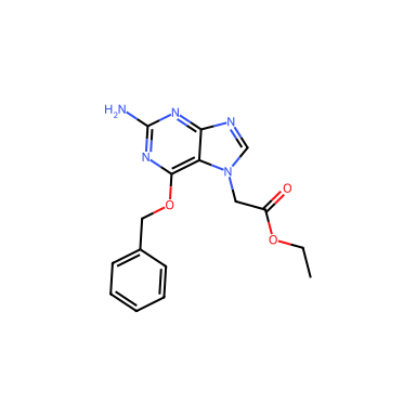 CCOC(=O)Cn1cnc2nc(N)nc(OCc3ccccc3)c21